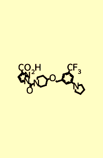 O=C(O)c1ccn(C(=O)N2CCC(OCc3cc(N4CCCC4)cc(C(F)(F)F)c3)CC2)n1